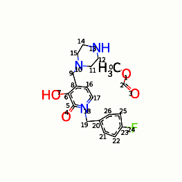 COC=O.O=c1c(O)c(CN2CCNCC2)ccn1Cc1ccc(F)cc1